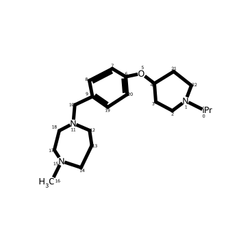 CC(C)N1CCC(Oc2ccc(CN3CCCN(C)CC3)cc2)CC1